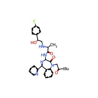 C[C@H](NCC(O)c1ccc(F)cc1)C(=O)NC1N=C(c2ccccn2)c2ccccc2N(CC(=O)C(C)(C)C)C1=O